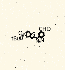 CC(C)(C)OC(=O)N1CCc2sc(-c3ncnc4ccc(C=O)cc34)cc2C1